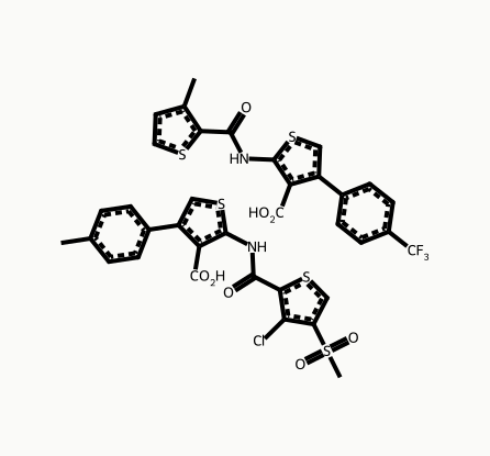 Cc1ccc(-c2csc(NC(=O)c3scc(S(C)(=O)=O)c3Cl)c2C(=O)O)cc1.Cc1ccsc1C(=O)Nc1scc(-c2ccc(C(F)(F)F)cc2)c1C(=O)O